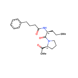 COC(=O)[C@@H]1CCCN1C(=O)[C@H](CCSC)NC(=O)CCCc1ccccc1